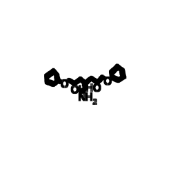 NCC=C(CC(O)COc1ccccc1)CC(O)COc1ccccc1